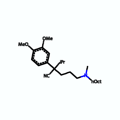 CCCCCCCCN(C)CCCC(C#N)(c1ccc(OC)c(OC)c1)C(C)C